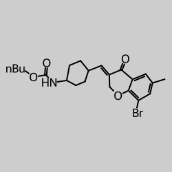 CCCCOC(=O)NC1CCC(/C=C2\COc3c(Br)cc(C)cc3C2=O)CC1